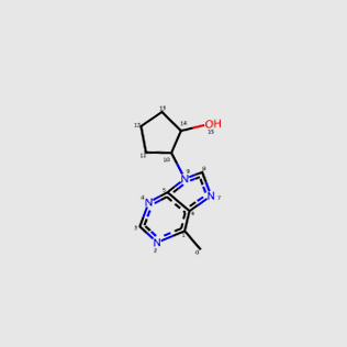 Cc1ncnc2c1ncn2C1CCCC1O